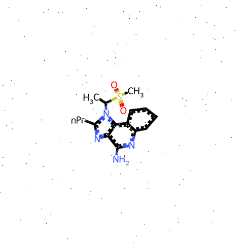 CCCc1nc2c(N)nc3ccccc3c2n1C(C)S(C)(=O)=O